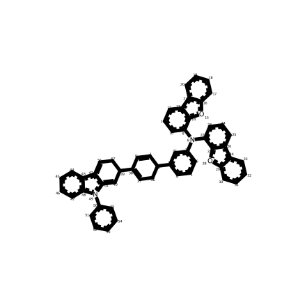 C1=CC(c2cccc(N(c3cccc4c3oc3ccccc34)c3cccc4c3oc3ccccc34)c2)CC=C1C1C=c2c(c3ccccc3n2-c2ccccc2)=CC1